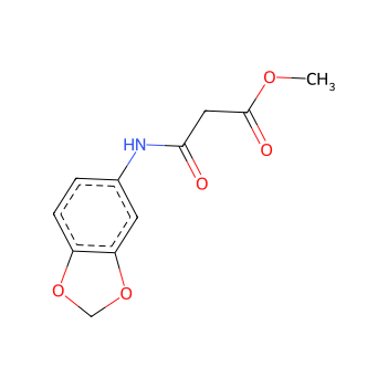 COC(=O)CC(=O)Nc1ccc2c(c1)OCO2